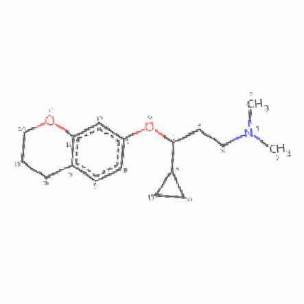 CN(C)CCC(Oc1ccc2c(c1)OCCC2)C1CC1